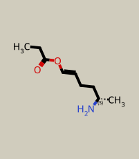 CCC(=O)OC=CCC[C@H](C)N